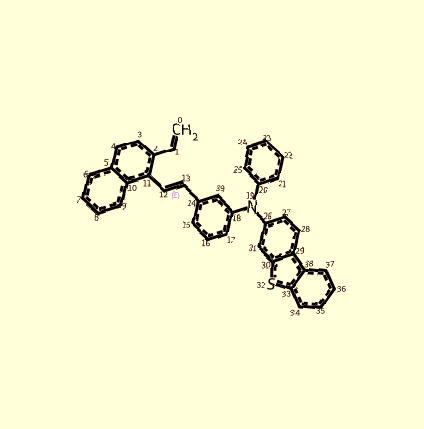 C=Cc1ccc2ccccc2c1/C=C/c1cccc(N(c2ccccc2)c2ccc3c(c2)sc2ccccc23)c1